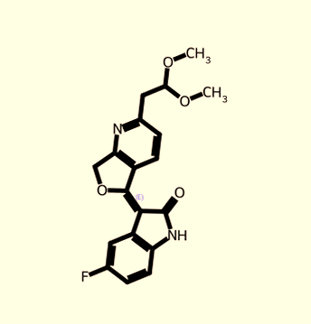 COC(Cc1ccc2c(n1)CO/C2=C1/C(=O)Nc2ccc(F)cc21)OC